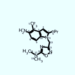 CCCc1cc2c(C(F)(F)F)c(N)ccc2n1Cc1noc(N(C)C)n1